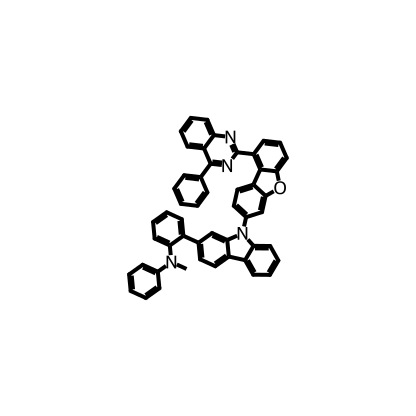 CN(c1ccccc1)c1ccccc1-c1ccc2c3ccccc3n(-c3ccc4c(c3)oc3cccc(-c5nc(-c6ccccc6)c6ccccc6n5)c34)c2c1